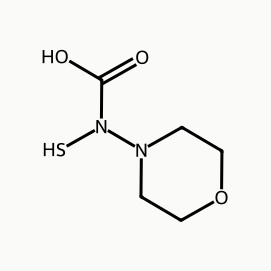 O=C(O)N(S)N1CCOCC1